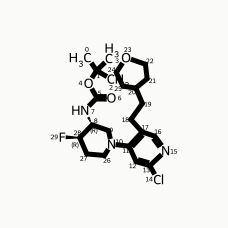 CC(C)(C)OC(=O)N[C@@H]1CN(c2cc(Cl)ncc2CCC2CCOCC2)CC[C@H]1F